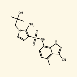 Cc1ccc(NS(=O)(=O)c2cnn(CC(C)(C)O)c2N)c2[nH]cc(C#N)c12